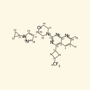 Cc1cc2c(C3CC(C(F)(F)F)C3)nc(N3CCO[C@@H](c4cnn(C5CC5)c4)C3)nc2nc1C